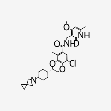 COc1cc(C)[nH]c(=O)c1CNC(=O)c1cc(Cl)c2c(c1C)O[C@@H](C1CCC(N3CC4(CC4)C3)CC1)CO2